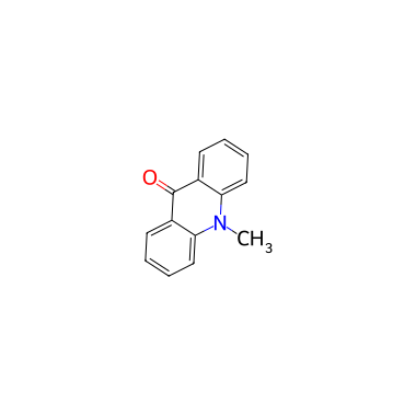 Cn1c2ccccc2c(=O)c2ccccc21